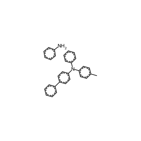 Cc1ccc(N(c2ccccc2)c2ccc(-c3ccccc3)cc2)cc1.Nc1ccccc1